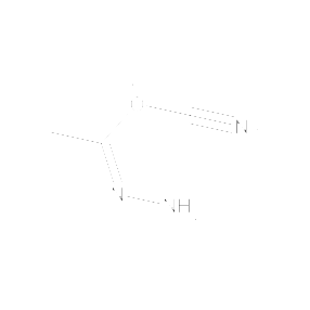 CC(=NN)OC#N